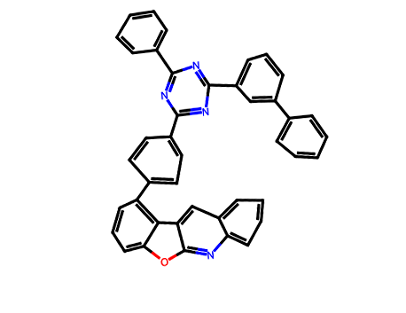 c1ccc(-c2cccc(-c3nc(-c4ccccc4)nc(-c4ccc(-c5cccc6oc7nc8ccccc8cc7c56)cc4)n3)c2)cc1